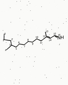 CCCC(C)CCCCCCC/C(C)=C/C=N